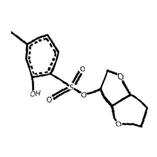 Cc1ccc(S(=O)(=O)OC2COC3CCOC32)c(O)c1